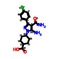 NC(=O)c1c(-c2ccc(Br)cc2)nn(C2CCC(C(=O)O)CC2)c1N